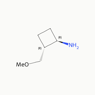 COC[C@@H]1CC[C@H]1N